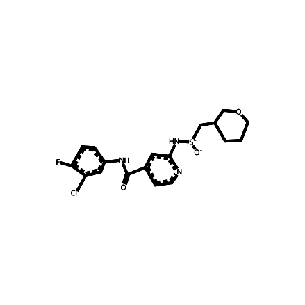 O=C(Nc1ccc(F)c(Cl)c1)c1ccnc(N[S+]([O-])CC2CCCOC2)c1